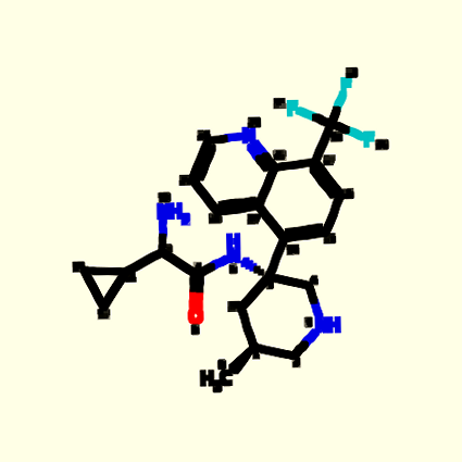 C[C@@H]1CNC[C@](NC(=O)C(N)C2CC2)(c2ccc(C(F)(F)F)c3ncccc23)C1